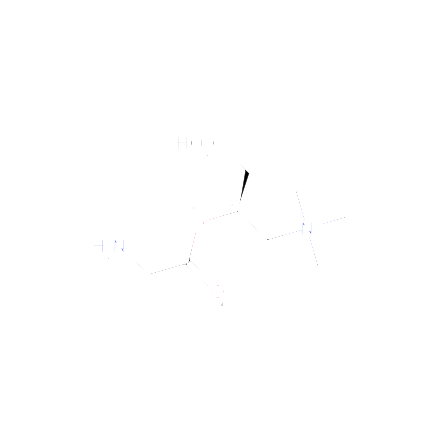 C[C@H](N)C(=O)O[C@@H](CC(=O)O)C[N+](C)(C)C